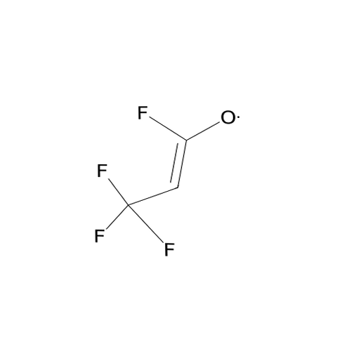 [O]/C(F)=C/C(F)(F)F